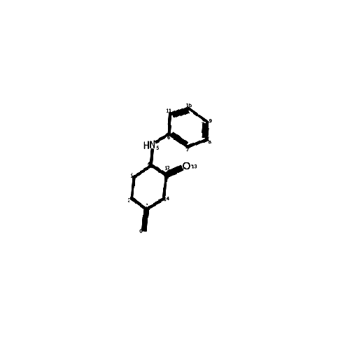 C=C1CCC(Nc2ccccc2)C(=O)C1